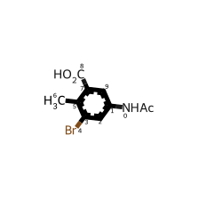 CC(=O)Nc1cc(Br)c(C)c(C(=O)O)c1